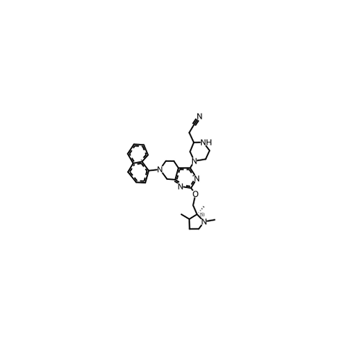 CC1CCN(C)[C@]1(C)COc1nc2c(c(N3CCNC(CC#N)C3)n1)CCN(c1cccc3ccccc13)C2